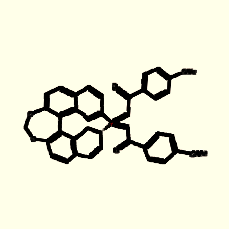 COc1ccc(C(=O)/C=C\c2ccc3ccc4c(c3c2)-c2c(ccc3c2C[C@H](/C=C\C(=O)c2ccc(OC)cc2)C=C3)OCO4)cc1